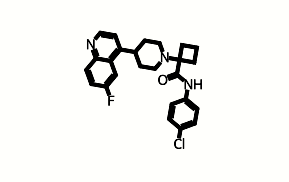 O=C(Nc1ccc(Cl)cc1)C1(N2CCC(c3ccnc4ccc(F)cc34)CC2)CCC1